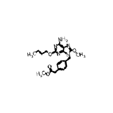 CCCCOc1nc(N)c2nc(OC)n(Cc3ccc(CC(=O)OC)cc3)c2n1